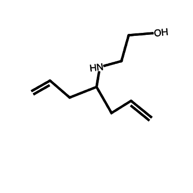 C=CCC(CC=C)NCCO